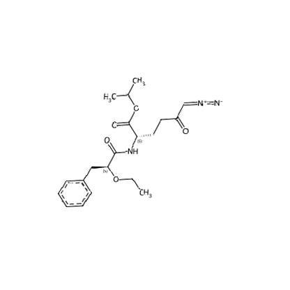 CCO[C@@H](Cc1ccccc1)C(=O)N[C@@H](CCC(=O)C=[N+]=[N-])C(=O)OC(C)C